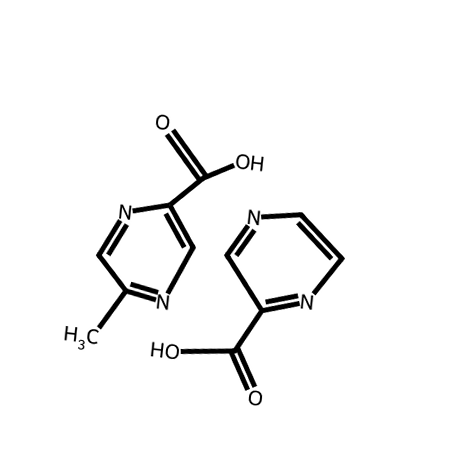 Cc1cnc(C(=O)O)cn1.O=C(O)c1cnccn1